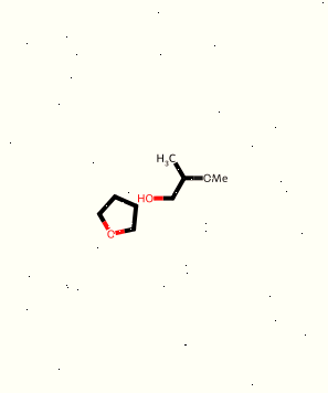 C1CCOC1.COC(C)CO